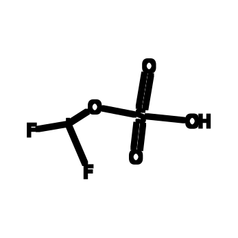 O=S(=O)(O)O[C](F)F